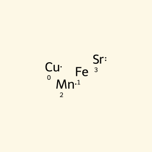 [Cu].[Fe].[Mn].[Sr]